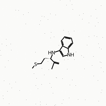 C=C(C)[C@H](CCSC)Nc1c[nH]c2ccccc12